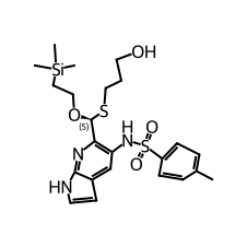 Cc1ccc(S(=O)(=O)Nc2cc3cc[nH]c3nc2[C@@H](OCC[Si](C)(C)C)SCCCO)cc1